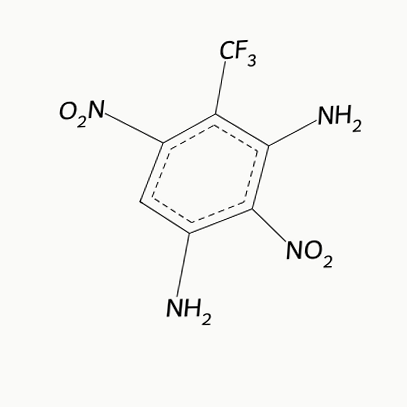 Nc1cc([N+](=O)[O-])c(C(F)(F)F)c(N)c1[N+](=O)[O-]